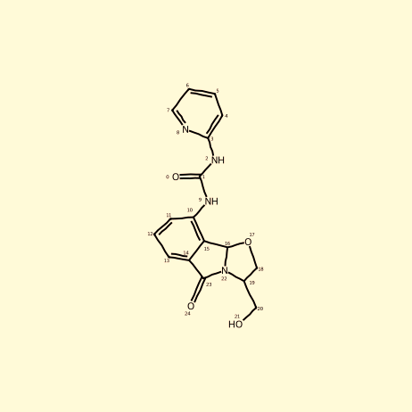 O=C(Nc1ccccn1)Nc1cccc2c1C1OCC(CO)N1C2=O